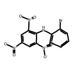 O=[N+]([O-])c1cc([N+](=O)[O-])c(Nc2c(Br)cccc2Br)c([N+](=O)[O-])c1